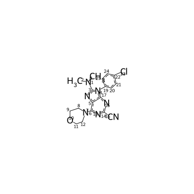 CN(C)c1nc2c(N3CCOCC3)nc(C#N)nc2n1-c1ccc(Cl)cc1